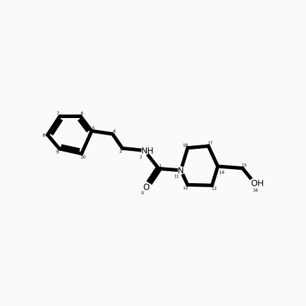 O=C(NCCc1ccccc1)N1CCC(CO)CC1